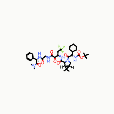 CN(C)C(=O)[C@@H](NC(=O)CNC(=O)C(=O)C(CC(F)(F)F)NC(=O)C1[C@@H]2[C@H](CN1C(=O)[C@@H](NC(=O)OC(C)(C)C)C1CCCCC1)C2(C)C)c1ccccc1